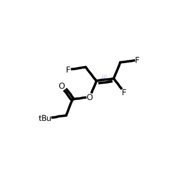 CC(C)(C)CC(=O)O/C(CF)=C(\F)CF